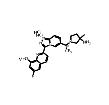 COc1cc(F)cc2ccc(-c3nnc4ccc([C@@H](N5CCC(C)(N)C5)C(F)(F)F)cn34)nc12.Cl.Cl